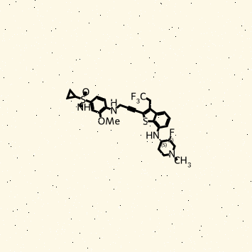 COc1cc(S(=N)(=O)C2CC2)ccc1NCC#Cc1sc2c(N[C@H]3CCN(C)C[C@@H]3F)cccc2c1CC(F)(F)F